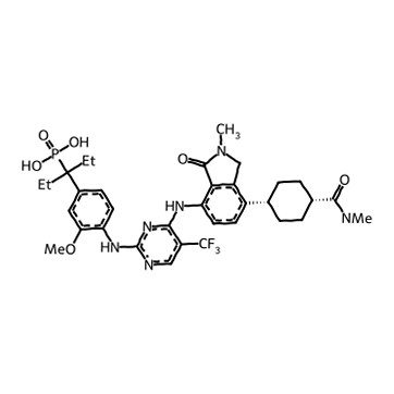 CCC(CC)(c1ccc(Nc2ncc(C(F)(F)F)c(Nc3ccc([C@H]4CC[C@@H](C(=O)NC)CC4)c4c3C(=O)N(C)C4)n2)c(OC)c1)P(=O)(O)O